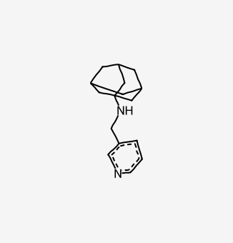 c1cncc(CNC23CC4CC(CC(C4)C2)C3)c1